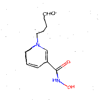 O=[C]CCN1C=C(C(=O)NO)C=CC1